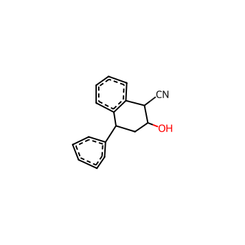 N#CC1c2ccccc2C(c2ccccc2)CC1O